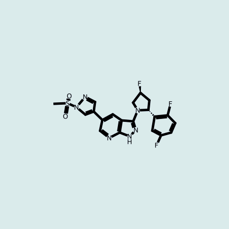 CS(=O)(=O)n1cc(-c2cnc3[nH]nc(N4C[C@@H](F)C[C@@H]4c4cc(F)ccc4F)c3c2)cn1